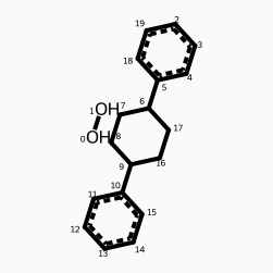 OO.c1ccc(C2CCC(c3ccccc3)CC2)cc1